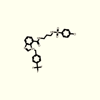 O=C(NCCCNS(=O)(=O)c1ccc(Cl)cc1)c1cccc2c1[SH](Cc1ccc(C(F)(F)F)cc1)C=N2